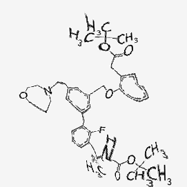 C[C@@H](NC(=O)OC(C)(C)C)c1cccc(-c2cc(COc3ccccc3CC(=O)OC(C)(C)C)cc(CN3CCCOCC3)c2)c1F